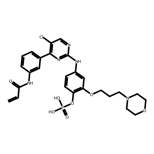 C=CC(=O)Nc1cccc(-c2nc(Nc3ccc(OP(=O)(O)O)c(OCCCN4CCOCC4)c3)ncc2Cl)c1